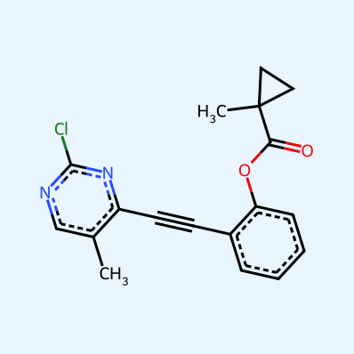 Cc1cnc(Cl)nc1C#Cc1ccccc1OC(=O)C1(C)CC1